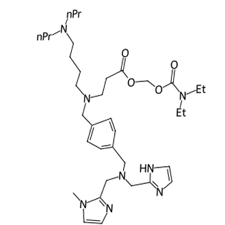 CCCN(CCC)CCCCN(CCC(=O)OCOC(=O)N(CC)CC)Cc1ccc(CN(Cc2ncc[nH]2)Cc2nccn2C)cc1